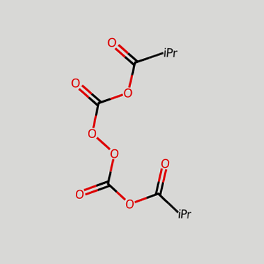 CC(C)C(=O)OC(=O)OOC(=O)OC(=O)C(C)C